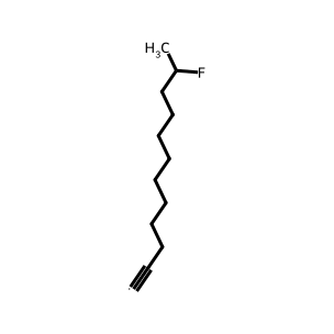 [C]#CCCCCCCCCC(C)F